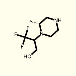 C[C@@H]1CNCCN1C(CO)C(F)(F)F